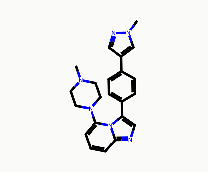 CN1CCN(c2cccc3ncc(-c4ccc(-c5cnn(C)c5)cc4)n23)CC1